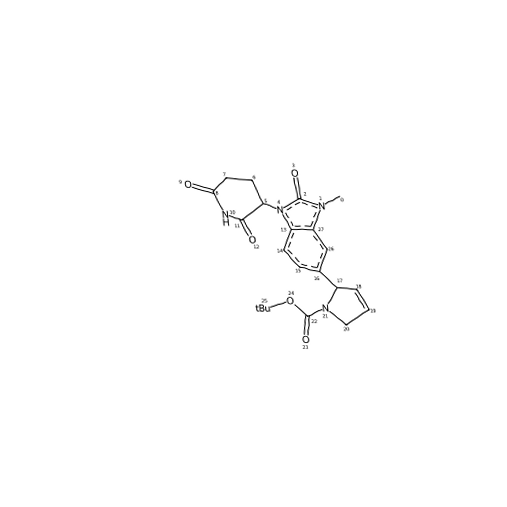 Cn1c(=O)n(C2CCC(=O)NC2=O)c2ccc(C3C=CCN3C(=O)OC(C)(C)C)cc21